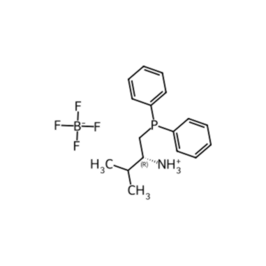 CC(C)[C@@H]([NH3+])CP(c1ccccc1)c1ccccc1.F[B-](F)(F)F